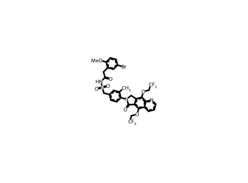 COc1ccc(Br)cc1CC(=O)NS(=O)(=O)Cc1ccc(N2Cc3c(c(OCC(F)(F)F)c4cccnc4c3OCC(F)(F)F)C2=O)c(C)c1